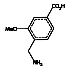 COc1cc(C(=O)O)ccc1CN